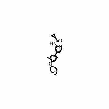 Cc1cc(-c2ccnc(NC(=O)C3CC3)c2)ccc1OC1CCOCC1